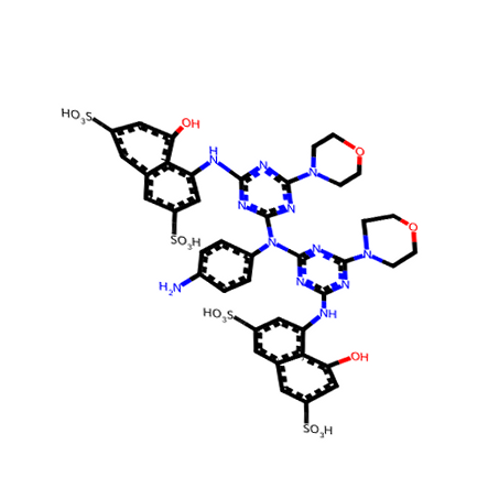 Nc1ccc(N(c2nc(Nc3cc(S(=O)(=O)O)cc4cc(S(=O)(=O)O)cc(O)c34)nc(N3CCOCC3)n2)c2nc(Nc3cc(S(=O)(=O)O)cc4cc(S(=O)(=O)O)cc(O)c34)nc(N3CCOCC3)n2)cc1